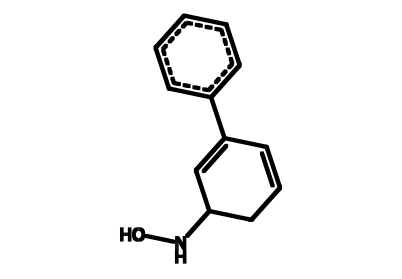 ONC1C=C(c2ccccc2)C=CC1